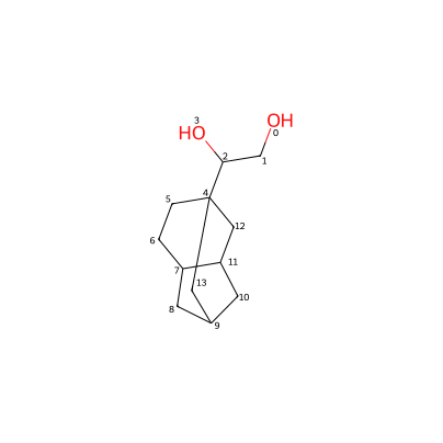 OCC(O)C12CCC3CC(CC3C1)C2